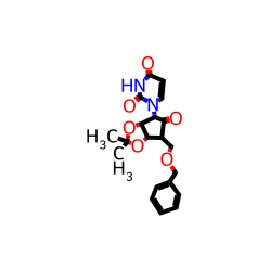 CC1(C)OC2C(COCc3ccccc3)C(=O)C(n3ccc(=O)[nH]c3=O)C2O1